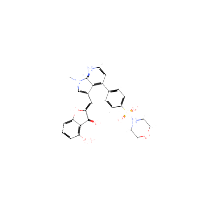 Cn1cc(C=C2Oc3cccc(O)c3C2=O)c2c(-c3ccc(S(=O)(=O)N4CCOCC4)cc3)ccnc21